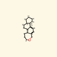 C1=C2COCCCC2C2CCC3CCCCC3C2=C1